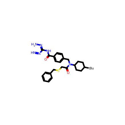 CC(C)(C)C1CCC(N(Cc2ccc(C(=O)N/C(N=N)=N/N)cc2)C(=O)CSCc2ccccc2)CC1